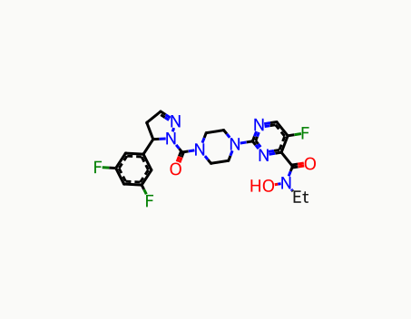 CCN(O)C(=O)c1nc(N2CCN(C(=O)N3N=CCC3c3cc(F)cc(F)c3)CC2)ncc1F